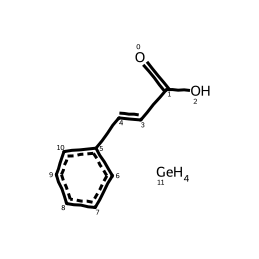 O=C(O)C=Cc1ccccc1.[GeH4]